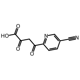 N#Cc1ccc(C(=O)CC(=O)C(=O)O)nc1